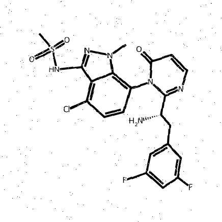 Cn1nc(NS(C)(=O)=O)c2c(Cl)ccc(-n3c([C@@H](N)Cc4cc(F)cc(F)c4)nccc3=O)c21